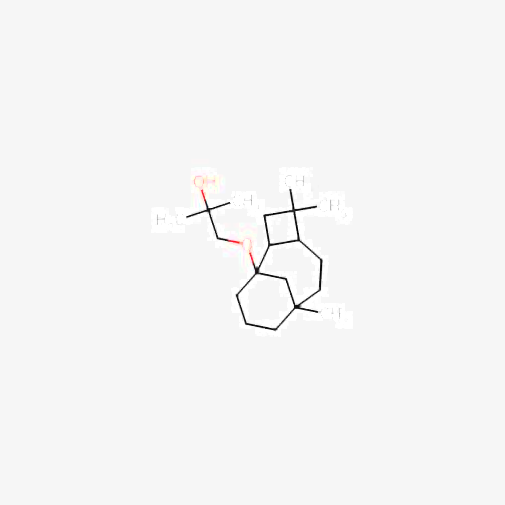 CC(C)(O)COC12CCCC(C)(CCC3C1CC3(C)C)C2